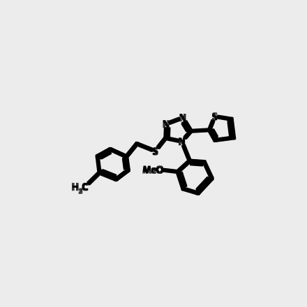 COc1ccccc1-n1c(SCc2ccc(C)cc2)nnc1-c1cccs1